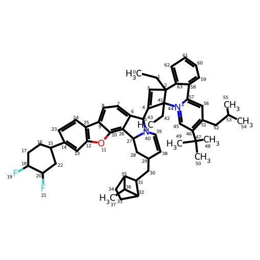 CCC12C=C(C3c4ccc5c(oc6cc(C7CCC(F)C(F)C7)ccc65)c4C4CC(CC5C6CCC5C6C)C=CN43)C1(CC)[n+]1cc(C(C)(C)C)c(CC(C)C)cc1-c1ccccc12